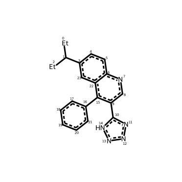 CCC(CC)c1ccc2ncc(-c3nnn[nH]3)c(-c3ccccc3)c2c1